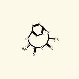 CC1Oc2ccc(cc2)OC(C)C(=O)OC1=O